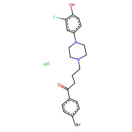 CC(C)(C)c1ccc(C(=O)CCCN2CCN(c3ccc(O)c(F)c3)CC2)cc1.Cl